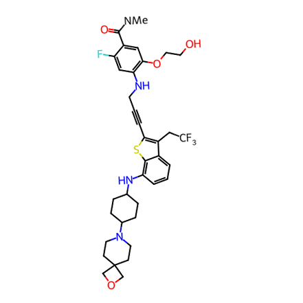 CNC(=O)c1cc(OCCO)c(NCC#Cc2sc3c(NC4CCC(N5CCC6(CC5)COC6)CC4)cccc3c2CC(F)(F)F)cc1F